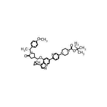 COc1ccc([C@@H](C)N2CC([C@@H](C)Oc3cc(-c4ccc(N5CCN(C(=O)OC(C)(C)C)CC5)cn4)cn4ncc(C5CC5)c34)CC2=O)cc1